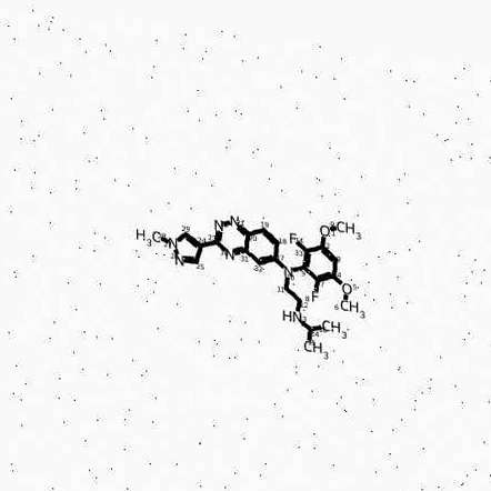 COc1cc(OC)c(F)c(N(CCNC(C)C)c2ccc3nnc(-c4cnn(C)c4)nc3c2)c1F